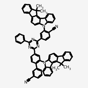 CC1(C)c2ccccc2-c2ccc3c(c21)c1ccccc1n3-c1cc(-c2nc(-c3ccccc3)nc(-c3ccc(-c4cccc(C#N)c4)c(-n4c5ccccc5c5c6c(ccc54)-c4ccccc4C6(C)C)c3)n2)ccc1C#N